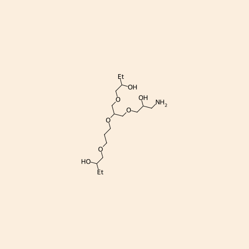 CCC(O)COCCCOC(COCC(O)CC)COCC(O)CN